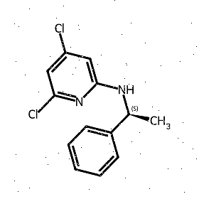 C[C@H](Nc1cc(Cl)cc(Cl)n1)c1ccccc1